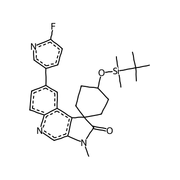 CN1C(=O)C2(CCC(O[Si](C)(C)C(C)(C)C)CC2)c2c1cnc1ccc(-c3ccc(F)nc3)cc21